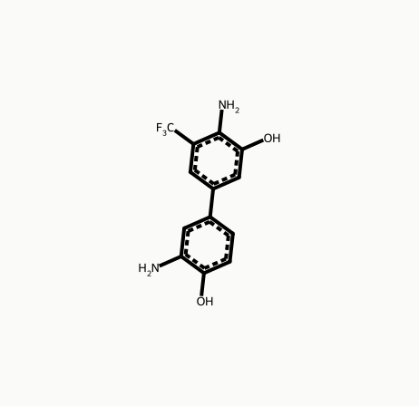 Nc1cc(-c2cc(O)c(N)c(C(F)(F)F)c2)ccc1O